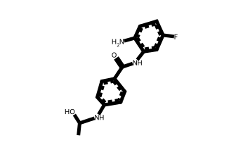 CC(O)Nc1ccc(C(=O)Nc2cc(F)ccc2N)cc1